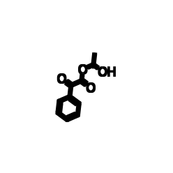 C[C](O)OC(=O)C(=O)c1ccccc1